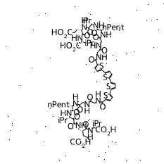 CCCCC[C@H](NC(=O)CNC(=O)CNC(=O)c1ccc(-c2ccc(-c3ccc(-c4ccc(C(=O)NCC(=O)NCC(=O)N[C@@H](CCCCC)C(=O)N[C@H](C(=O)C(=O)NC[C@@H](CCC(=O)O)C(=O)N[C@H](C(=O)O)C(C)C)C(C)C)s4)s3)s2)s1)C(=O)N[C@H](C(=O)N[C@@H](CCC(=O)O)C(=O)N[C@H](C(=O)O)C(C)C)C(C)C